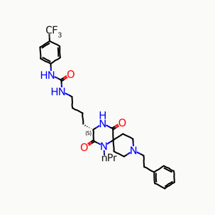 CCCN1C(=O)[C@H](CCCCNC(=O)Nc2ccc(C(F)(F)F)cc2)NC(=O)C12CCN(CCc1ccccc1)CC2